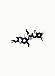 C/C=C1/C=C(N/C(NCI)=C(/C)Cc2cc(Cl)c(F)cc2F)C(CC)=C/C1=N/C(CC)CC=O